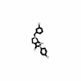 O=c1c2c([nH]n1-c1ccc(Cl)cc1)CN(Cc1cccc(Cl)c1)CC2